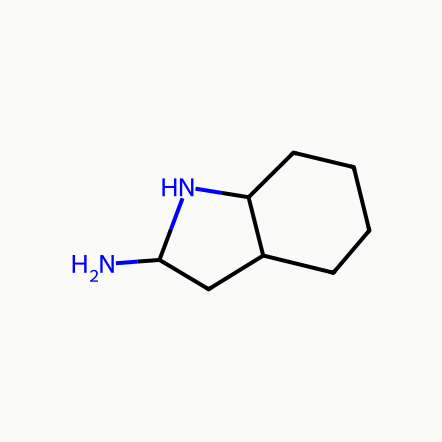 NC1CC2CCCCC2N1